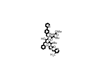 COC(=O)NC(C(=O)NN(Cc1ccc(-c2ccccn2)cc1)CC(O)C(Cc1ccccc1)NC(=O)C(N1CCN(Cc2cnccc2C)C1=O)C(C)(C)C)C(C)(C)C